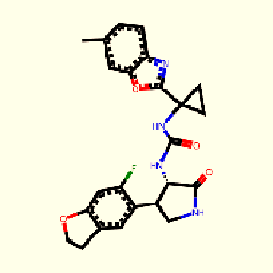 Cc1ccc2nc(C3(NC(=O)N[C@@H]4C(=O)NC[C@H]4c4cc5c(cc4F)OCC5)CC3)oc2c1